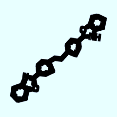 C(=C\c1ccc(C2Nc3ccccc3O2)cc1)/c1ccc(-c2nc3ccccc3o2)cc1